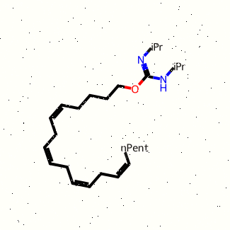 CCCCC/C=C\C/C=C\C/C=C\C/C=C\CCCCOC(=NC(C)C)NC(C)C